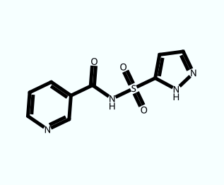 O=C(NS(=O)(=O)c1ccn[nH]1)c1cccnc1